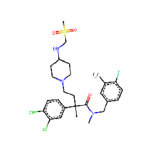 CN(Cc1ccc(F)c(C(F)(F)F)c1)C(=O)C(C)(CCN1CCC(NCS(C)(=O)=O)CC1)c1ccc(Cl)c(Cl)c1